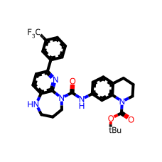 CC(C)(C)OC(=O)N1CCCc2ccc(NC(=O)N3CCCNc4ccc(-c5cccc(C(F)(F)F)c5)nc43)cc21